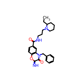 CCC1CCCCN1CCCNC(=O)c1ccc2oc(=N)c(=O)n(Cc3ccccc3)c2c1